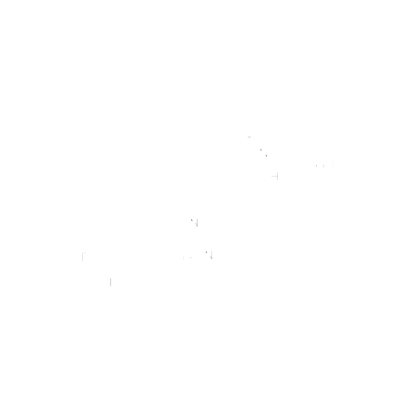 CC(C)Oc1ccc(-c2nc(-c3cccc4c3C[C@H]3CC(=O)N(CCO)[C@@H]43)no2)cc1C(F)F